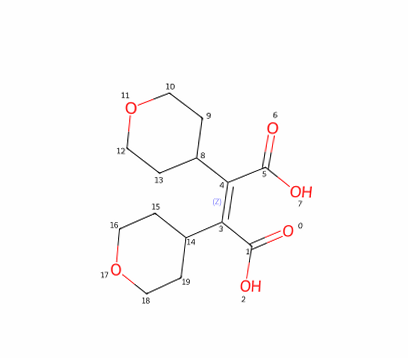 O=C(O)/C(=C(\C(=O)O)C1CCOCC1)C1CCOCC1